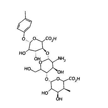 Cc1ccc(O[C@@H]2OC(C(=O)O)[C@@H](O[C@H]3OC(CO)[C@@H](O[C@@H]4OC(C(=O)O)[C@@H](C)[C@@H](O)C4O)[C@H](O)C3N)[C@H](O)C2O)cc1